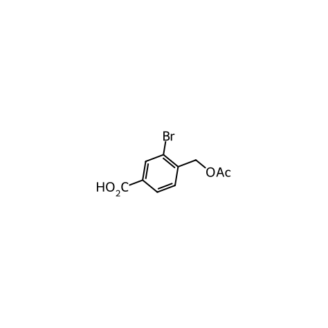 CC(=O)OCc1ccc(C(=O)O)cc1Br